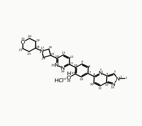 Cl.Cn1cc2nc(-c3ccc(-c4ccc(C5CN(C6CCOCC6)C5)nn4)c(O)c3)ccc2n1